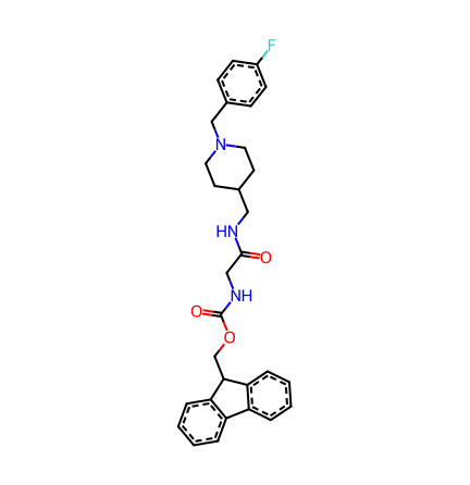 O=C(CNC(=O)OCC1c2ccccc2-c2ccccc21)NCC1CCN(Cc2ccc(F)cc2)CC1